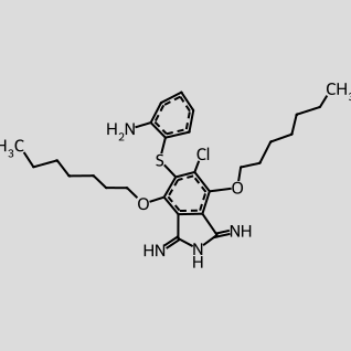 CCCCCCCOc1c(Cl)c(Sc2ccccc2N)c(OCCCCCCC)c2c1C(=N)NC2=N